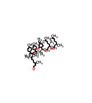 C=C(C)C1CC=C(C)CC1.C=C(C)C1CC=C(C)CC1.CC(C)=CCC/C(C)=C\C=O.CC(C)=CCCC(C)CC=O.CC(C)=CCCC(C)CCO.CC1CCC(C(C)C)C(O)C1